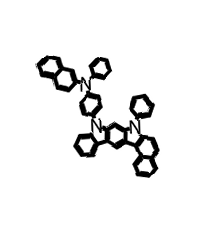 c1ccc(N(c2ccc(-n3c4ccccc4c4cc5c6c7ccccc7ccc6n(-c6ccccc6)c5cc43)cc2)c2ccc3ccccc3c2)cc1